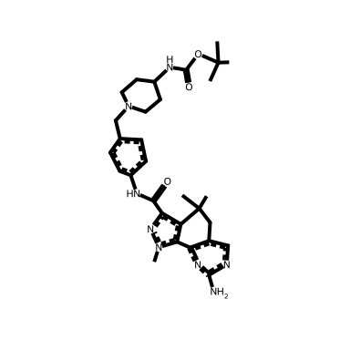 Cn1nc(C(=O)Nc2ccc(CN3CCC(NC(=O)OC(C)(C)C)CC3)cc2)c2c1-c1nc(N)ncc1CC2(C)C